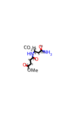 COC(=O)CCC(=O)NC(CC(N)=O)C(=O)O